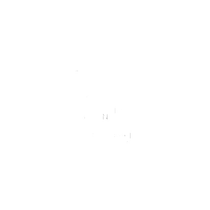 CCC(C)C(C(=O)O)N(C(=O)COCCF)C(C)C